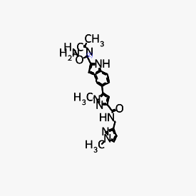 C=C(C)/N=C(\ON)c1cc2cc(-c3cc(C(=O)NCc4ccn(C)n4)nn3C)ccc2[nH]1